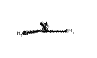 CCCCCC=CCC=CCCCCCCCCC(CCCCCCCCC=CCC=CCCCCC)OC(=O)CCNCC